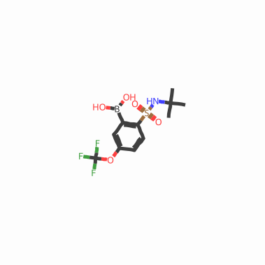 CC(C)(C)NS(=O)(=O)c1ccc(OC(F)(F)F)cc1B(O)O